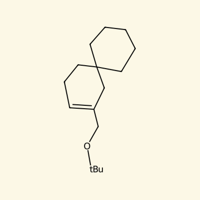 CC(C)(C)OCC1=CCCC2(CCCCC2)C1